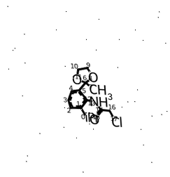 CC(C)c1cccc(C2(C)OCCO2)c1NC(=O)CCl